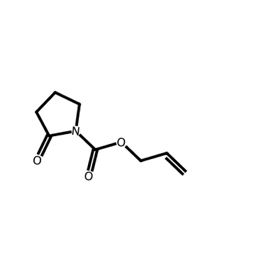 C=CCOC(=O)N1CCCC1=O